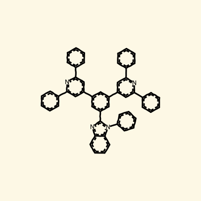 c1ccc(-c2cc(-c3cc(-c4cc(-c5ccccc5)nc(-c5ccccc5)c4)cc(-c4nc5ccccc5n4-c4ccccc4)c3)cc(-c3ccccc3)n2)cc1